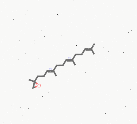 CC(C)=CCC/C(C)=C/CC/C(C)=C/CCC1(C)CO1